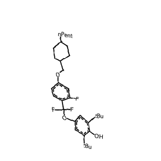 CCCCCC1CCC(COc2ccc(C(F)(F)Oc3cc(C(C)(C)C)c(O)c(C(C)(C)C)c3)c(F)c2)CC1